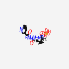 O=C(Cc1cccnc1)NNC(=O)[C@@H]1CC2(CC2)[C@@H]2CN1C(=O)N2OS(=O)(=O)O